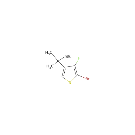 CCCCC(C)(C)c1csc(Br)c1F